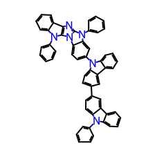 c1ccc(-n2c3ccccc3c3cc(-c4ccc5c(c4)c4ccccc4n5-c4ccc5c(c4)n(-c4ccccc4)c4nc6c7ccccc7n(-c7ccccc7)c6n54)ccc32)cc1